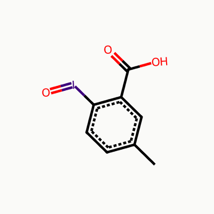 Cc1ccc(I=O)c(C(=O)O)c1